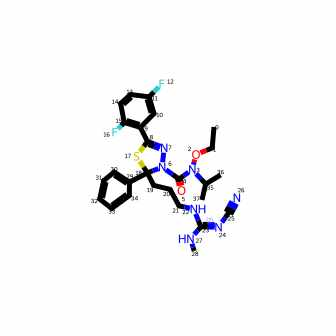 CCON(C(=O)N1N=C(c2cc(F)ccc2F)SC1(CCCN/C(=N\C#N)NC)c1ccccc1)C(C)C